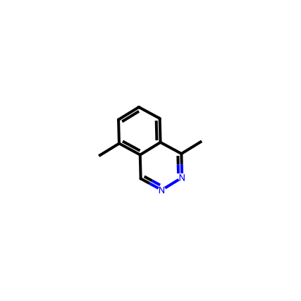 Cc1cccc2c(C)nncc12